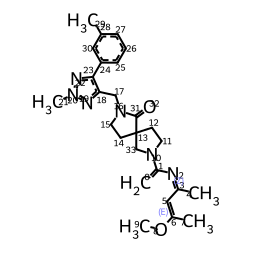 C=C(/N=C(C)\C=C(/C)OC)N1CCC2(CCN(Cc3nn(C)nc3-c3cccc(C)c3)C2=O)C1